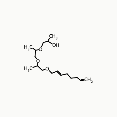 C=CCCCC=CCOCC(C)OCC(C)OCC(C)O